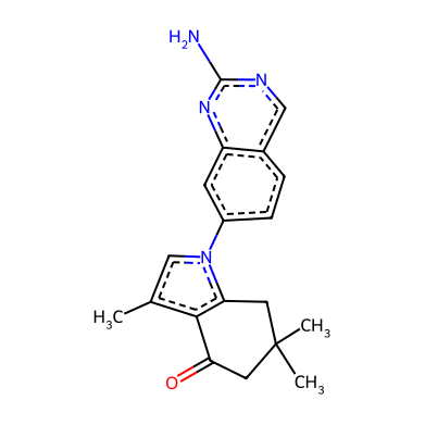 Cc1cn(-c2ccc3cnc(N)nc3c2)c2c1C(=O)CC(C)(C)C2